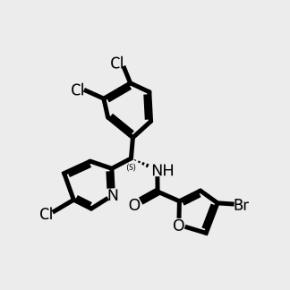 O=C(N[C@@H](c1ccc(Cl)c(Cl)c1)c1ccc(Cl)cn1)c1cc(Br)co1